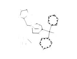 Br.CCCCCCCC.OC(c1ccccc1)(c1ccccc1)C12CC[N+](CC3OCCO3)(CC1)CC2.[Br-]